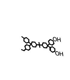 CCC1CCC(C2(C3CCC(C)CC3)CCC(C(C)(C)C3CCC(C4=CCC(O)CC4)(C4CCC(O)CC4)CC3)CC2)CC1